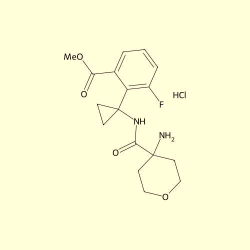 COC(=O)c1cccc(F)c1C1(NC(=O)C2(N)CCOCC2)CC1.Cl